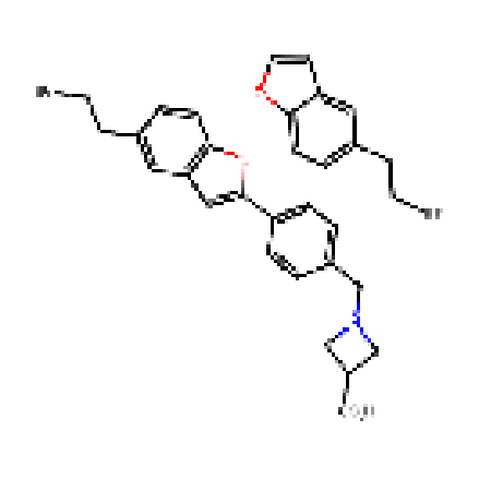 CC(C)CCc1ccc2oc(-c3ccc(CN4CC(C(=O)O)C4)cc3)cc2c1.CC(C)CCc1ccc2occc2c1